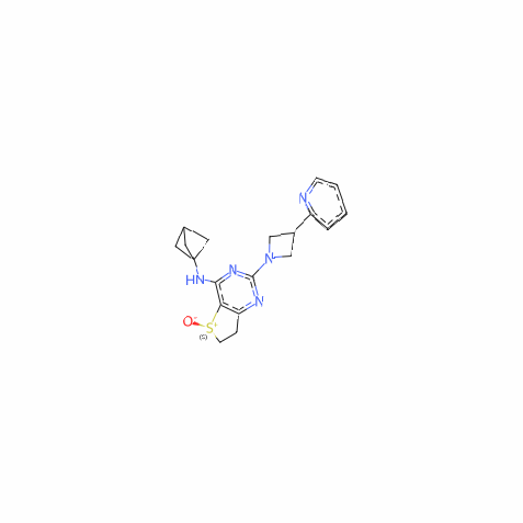 [O-][S@+]1CCc2nc(N3CC(c4ccccn4)C3)nc(NC34CC(C3)C4)c21